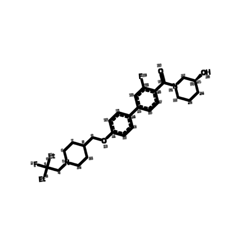 CCC(F)(CC)CN1CCC(COc2ccc(-c3ccc(C(=O)N4CCC[C@H](O)C4)c(F)c3)cc2)CC1